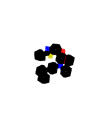 c1ccc(-c2nc3ccc4oc5ccc(N(c6ccc(-c7cccc8ccccc78)cc6)c6ccccc6-c6ccccc6)cc5c4c3s2)cc1